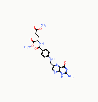 NOC(=O)CC[C@H](NC(=O)c1ccc(NCc2cnc3[nH]c(N)nc(=O)c3n2)cc1)C(=O)ON